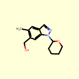 Cc1cc2cnn(C3CCCCO3)c2cc1CO